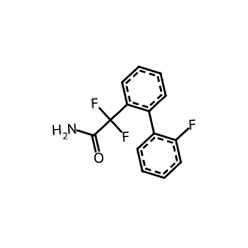 NC(=O)C(F)(F)c1ccccc1-c1ccccc1F